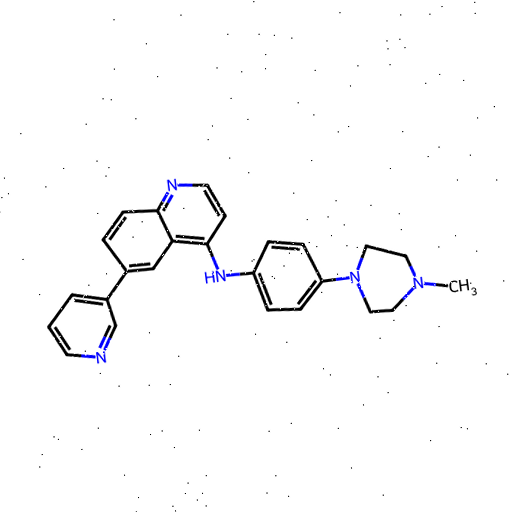 CN1CCN(c2ccc(Nc3ccnc4ccc(-c5cccnc5)cc34)cc2)CC1